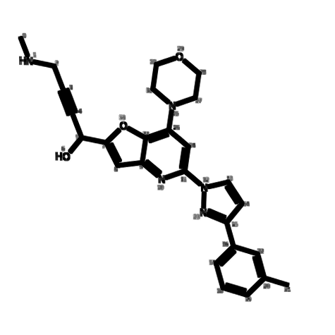 CNCC#CC(O)c1cc2nc(-n3ccc(-c4cccc(C)c4)n3)cc(N3CCOCC3)c2o1